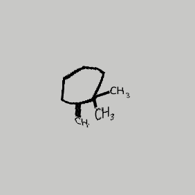 [CH]=C1CCCCC1(C)C